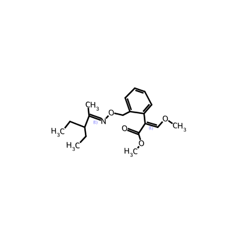 CCC(CC)/C(C)=N/OCc1ccccc1/C(=C\OC)C(=O)OC